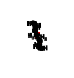 Cc1c(-c2ccc(OCCNC[C@@H](O)CC(=O)O)cc2)cccc1-c1cccc(-c2ccc(OCCNC[C@@H](O)CC(=O)O)cc2)c1C